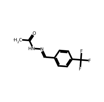 [CH2]C(=O)NN=Cc1ccc(C(F)(F)F)cc1